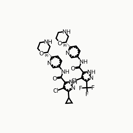 O=C(Nc1ccc([C@H]2CNCCO2)nc1)c1[nH]nc(C(F)(F)F)c1Cl.O=C(Nc1ccc([C@H]2CNCCO2)nc1)c1[nH]nc(C2CC2)c1Cl